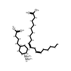 CCCCC/C=C\C/C=C\CCCCCCCC(=O)[O-].O=C([O-])CCCC1CCCCC1.[Mn+2].[Mn+2]